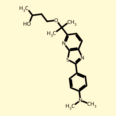 CC(O)CCOC(C)(C)c1ccc2nc(-c3ccc(N(C)C)cc3)sc2n1